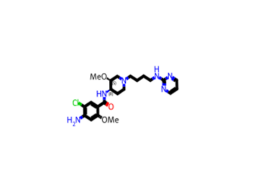 COc1cc(N)c(Cl)cc1C(=O)N[C@@H]1CCN(CCCCNc2ncccn2)C[C@@H]1OC